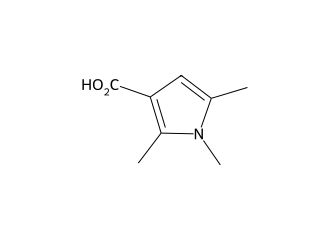 Cc1cc(C(=O)O)c(C)n1C